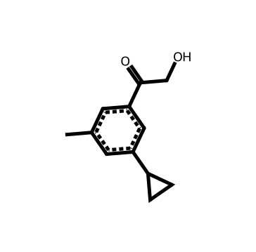 Cc1cc(C(=O)CO)cc(C2CC2)c1